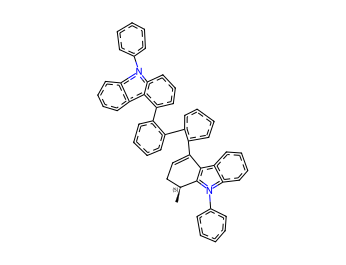 C[C@H]1CC=C(c2ccccc2-c2ccccc2-c2cccc3c2c2ccccc2n3-c2ccccc2)c2c1n(-c1ccccc1)c1ccccc21